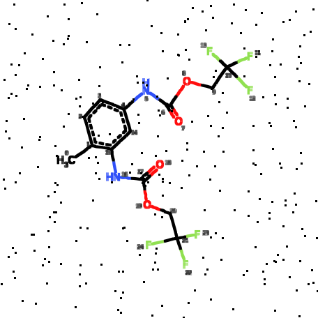 Cc1ccc(NC(=O)OCC(F)(F)F)cc1NC(=O)OCC(F)(F)F